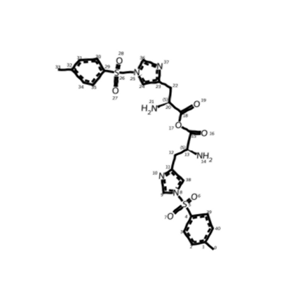 Cc1ccc(S(=O)(=O)n2cnc(C[C@H](N)C(=O)OC(=O)[C@@H](N)Cc3cn(S(=O)(=O)c4ccc(C)cc4)cn3)c2)cc1